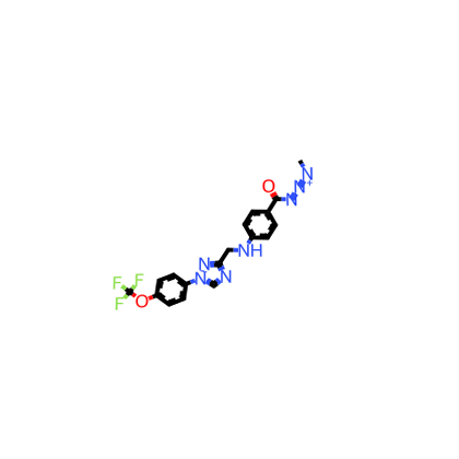 CN=[N+]=NC(=O)c1ccc(NCc2ncn(-c3ccc(OC(F)(F)F)cc3)n2)cc1